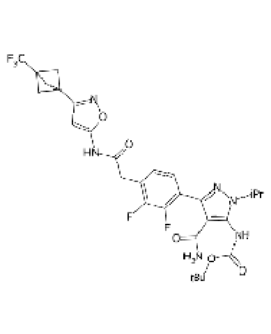 CC(C)n1nc(-c2ccc(CC(=O)Nc3cc(C45CC(C(F)(F)F)(C4)C5)no3)c(F)c2F)c(C(N)=O)c1NC(=O)OC(C)(C)C